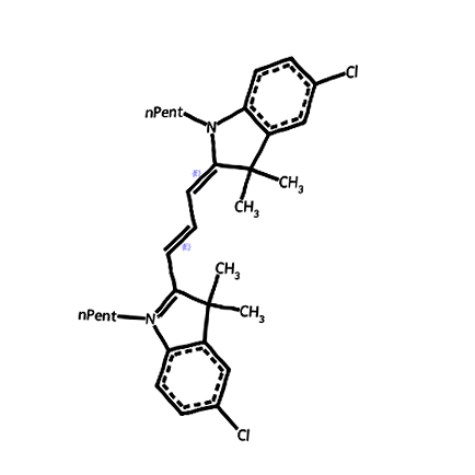 CCCCCN1/C(=C/C=C/C2=[N+](CCCCC)c3ccc(Cl)cc3C2(C)C)C(C)(C)c2cc(Cl)ccc21